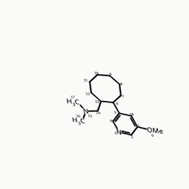 COc1cncc(C2CCCCCCC2CN(C)C)c1